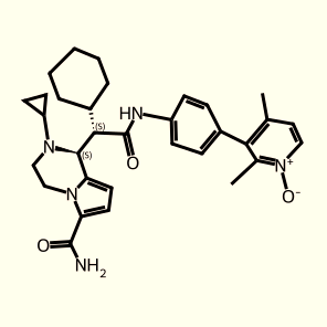 Cc1cc[n+]([O-])c(C)c1-c1ccc(NC(=O)[C@@H](C2CCCCC2)[C@H]2c3ccc(C(N)=O)n3CCN2C2CC2)cc1